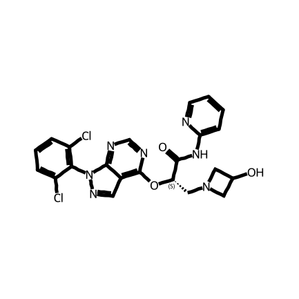 O=C(Nc1ccccn1)[C@H](CN1CC(O)C1)Oc1ncnc2c1cnn2-c1c(Cl)cccc1Cl